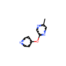 Cc1cnc(Oc2ccncc2)cn1